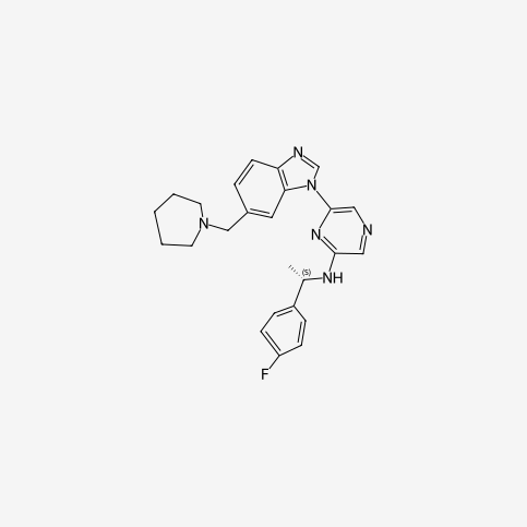 C[C@H](Nc1cncc(-n2cnc3ccc(CN4CCCCC4)cc32)n1)c1ccc(F)cc1